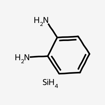 Nc1ccccc1N.[SiH4]